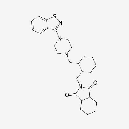 O=C1C2CCCCC2C(=O)N1CC1CCCCC1CN1CCN(c2nsc3ccccc23)CC1